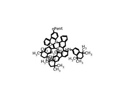 CCCCCc1ccc(N2c3oc4cc5c(cc4c3Bc3c(-c4c(Nc6ccc7c(c6)C(C)(C)CCC7(C)C)ccc6c4C(C)(C)c4cc7c(cc4-6)C(C)(C)CCC7(C)C)cc4ccccc4c32)C(C)(C)CCC5(C)C)c(-c2ccccc2)c1